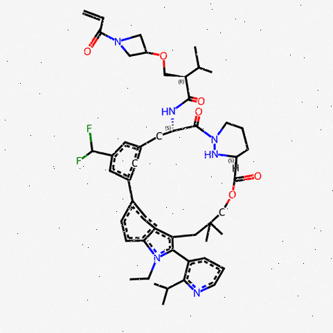 C=CC(=O)N1CC(OC[C@H](C(=O)N[C@H]2Cc3cc(cc(C(F)F)c3)-c3ccc4c(c3)c(c(-c3cccnc3C(C)C)n4CC)CC(C)(C)COC(=O)[C@@H]3CCCN(N3)C2=O)C(C)C)C1